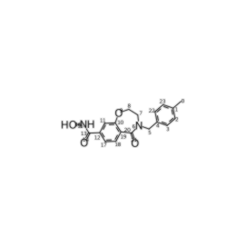 Cc1ccc(CN2CCOc3cc(C(=O)NO)ccc3C2=O)cc1